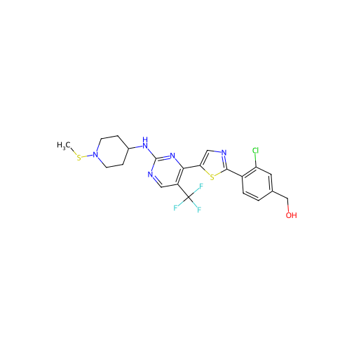 CSN1CCC(Nc2ncc(C(F)(F)F)c(-c3cnc(-c4ccc(CO)cc4Cl)s3)n2)CC1